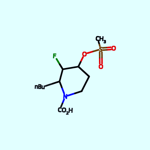 CCCCC1C(F)C(OS(C)(=O)=O)CCN1C(=O)O